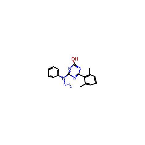 Cc1cccc(C)c1-c1nc(O)nc(N(N)c2ccccc2)n1